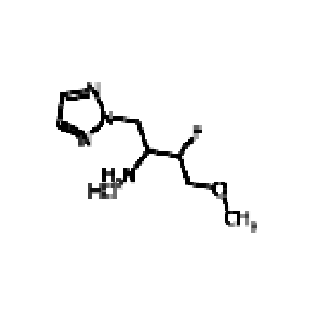 COCC(F)C(N)Cn1nccn1.Cl